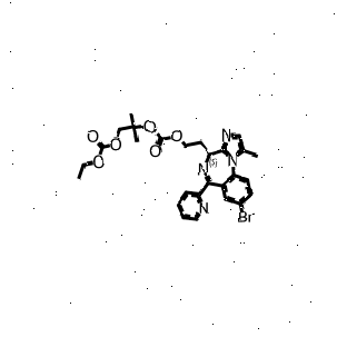 CCOC(=O)OCC(C)(C)OC(=O)OCC[C@@H]1N=C(c2ccccn2)c2cc(Br)ccc2-n2c(C)cnc21